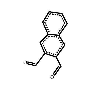 O=Cc1cc2ccccc2cc1C=O